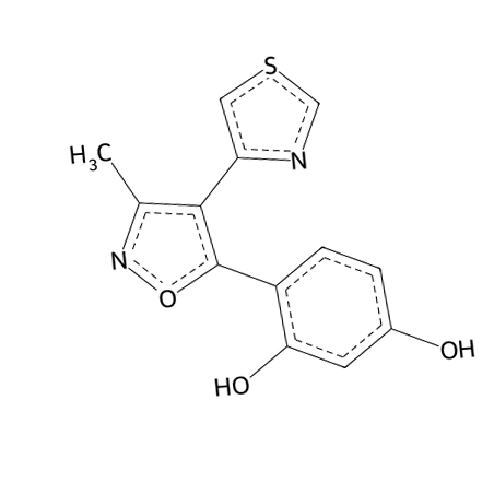 Cc1noc(-c2ccc(O)cc2O)c1-c1cscn1